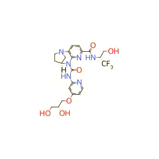 O=C(N[C@H](CO)C(F)(F)F)c1ccc2c(n1)N(C(=O)Nc1cc(OC[C@H](O)CO)ccn1)[C@H]1CCN2C1